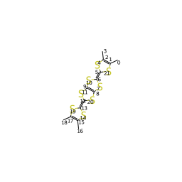 CC1=C(C)SC(=C2SC3=C(S2)SC(=C2SC(C)=C(C)S2)S3)S1